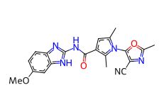 COc1ccc2nc(NC(=O)c3cc(C)n(-c4oc(C)nc4C#N)c3C)[nH]c2c1